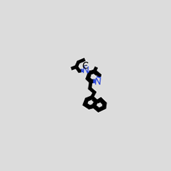 Cc1cnc(CCc2cccc3ccccc23)cc1N1CCCC(C)C1